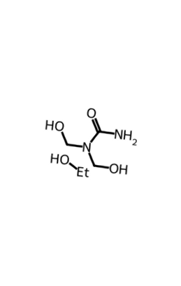 CCO.NC(=O)N(CO)CO